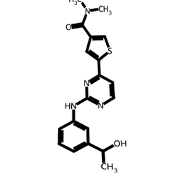 CC(O)c1cccc(Nc2nccc(-c3cc(C(=O)N(C)C)cs3)n2)c1